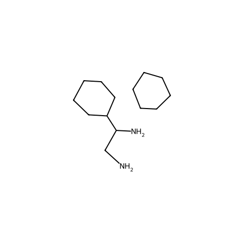 C1CCCCC1.NCC(N)C1CCCCC1